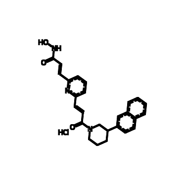 Cl.O=C(C=Cc1cccc(C=CC(=O)N2CCCC(c3ccc4ccccc4c3)C2)n1)NO